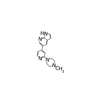 CN1CCN(c2cc(-c3cnc4[nH]ccc4c3)ccn2)CC1